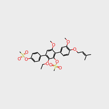 CCOc1c(-c2ccc(OS(C)(=O)=O)cc2)cc(OC)c(-c2ccc(OCC=C(C)C)c(OC)c2)c1OS(C)(=O)=O